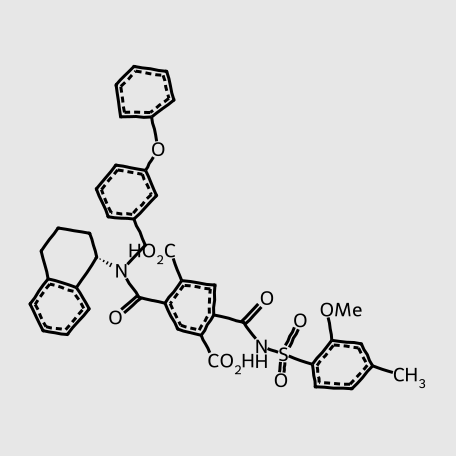 COc1cc(C)ccc1S(=O)(=O)NC(=O)c1cc(C(=O)O)c(C(=O)N(Cc2cccc(Oc3ccccc3)c2)[C@H]2CCCc3ccccc32)cc1C(=O)O